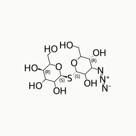 [N-]=[N+]=NC1C(O)[C@H](S[C@@H]2OC(CO)[C@H](O)C(O)C2O)OC(CO)[C@@H]1O